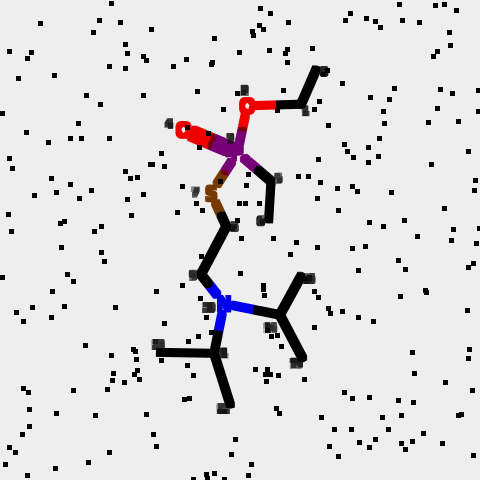 CCOP(=O)(CC)SCCN(C(C)C)C(C)C